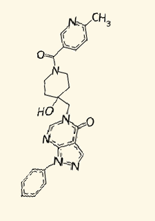 Cc1ccc(C(=O)N2CCC(O)(Cn3cnc4c(cnn4-c4ccccc4)c3=O)CC2)cn1